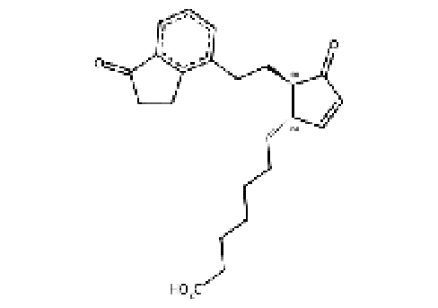 O=C(O)CCCCCC[C@H]1C=CC(=O)[C@@H]1CCc1cccc2c1CCC2=O